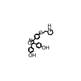 Oc1ccc(-c2onc(-c3ccc(OCCC4CCCCN4)cc3)c2-c2ccc(O)cc2)cc1